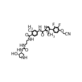 Cc1cc(NC(=O)c2ncc(-c3ccc(OCC#N)c(F)c3F)n2C)ccc1C(=O)NCCNC(=O)N[C@H]1CNC[C@@H]1O